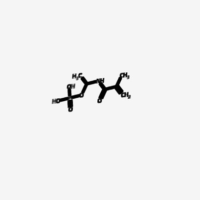 C=C(C)C(=O)NC(C)OP(=O)(O)O